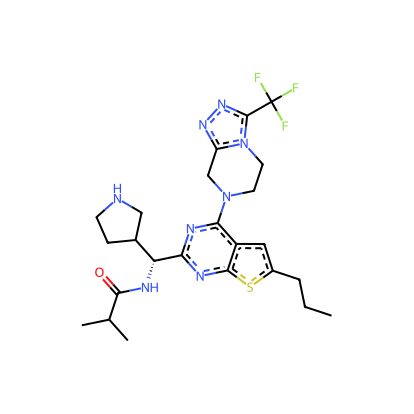 CCCc1cc2c(N3CCn4c(nnc4C(F)(F)F)C3)nc([C@H](NC(=O)C(C)C)C3CCNC3)nc2s1